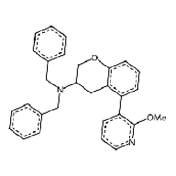 COc1ncccc1-c1cccc2c1CC(N(Cc1ccccc1)Cc1ccccc1)CO2